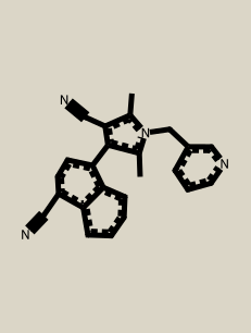 Cc1c(C#N)c(-c2ccc(C#N)c3ccccc23)c(C)n1Cc1cccnc1